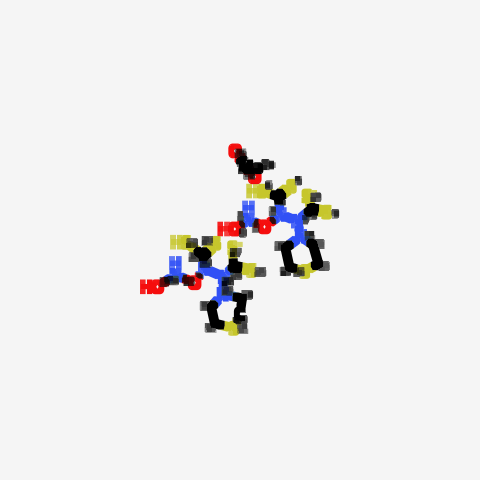 ONON(C(=S)S)N(C(=S)[S-])N1CCSCC1.ONON(C(=S)S)N(C(=S)[S-])N1CCSCC1.[O]=[Mo+2]=[O]